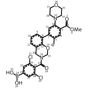 COC(=O)c1cc(F)c(-c2cccc3c2OCN(C(=O)c2c(Cl)cc(B(O)O)cc2Cl)C3)cc1N1CCOCC1